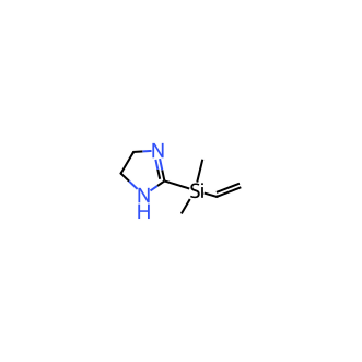 C=C[Si](C)(C)C1=NCCN1